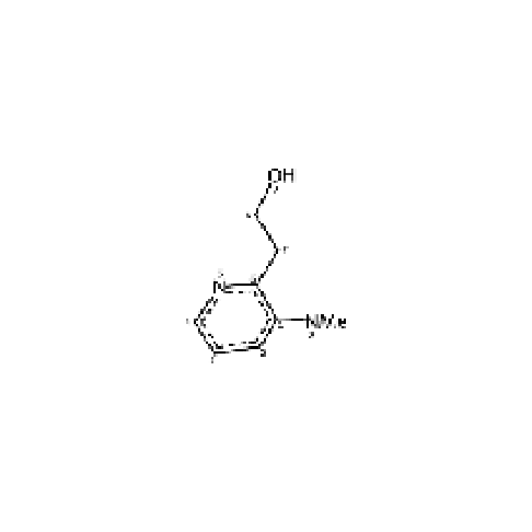 CNc1cccnc1CCO